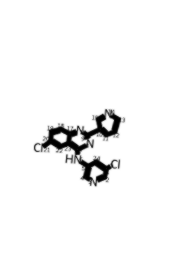 Clc1cncc(Nc2nc(-c3cccnc3)nc3ccc(Cl)cc23)c1